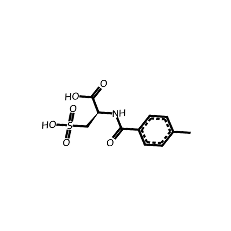 Cc1ccc(C(=O)N[C@@H](CS(=O)(=O)O)C(=O)O)cc1